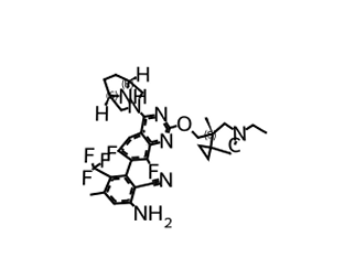 CCN1CCC2(CC2)[C@](C)(COc2nc(N3C[C@H]4CC[C@@H](C3)N4)c3cc(F)c(-c4c(C#N)c(N)cc(C)c4C(F)(F)F)c(F)c3n2)C1